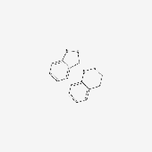 c1ccc2c(c1)CCSS2.c1ccc2c(c1)CSS2